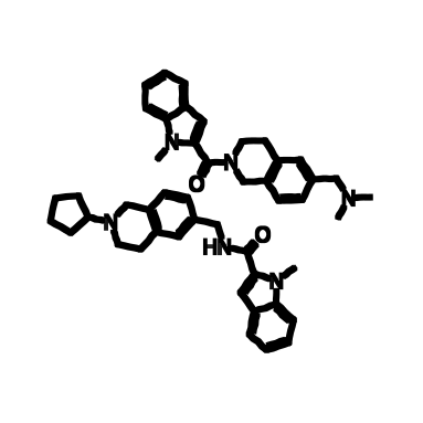 CN(C)Cc1ccc2c(c1)CCN(C(=O)c1cc3ccccc3n1C)C2.Cn1c(C(=O)NCc2ccc3c(c2)CCN(C2CCCC2)C3)cc2ccccc21